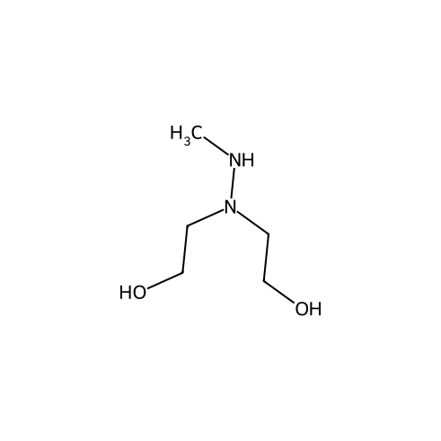 CNN(CCO)CCO